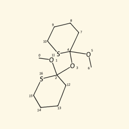 COC1(OC2(OC)CCCCS2)CCCCS1